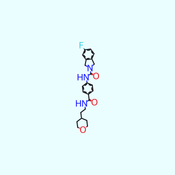 O=C(NCCC1CCOCC1)c1ccc(NC(=O)N2Cc3ccc(F)cc3C2)cc1